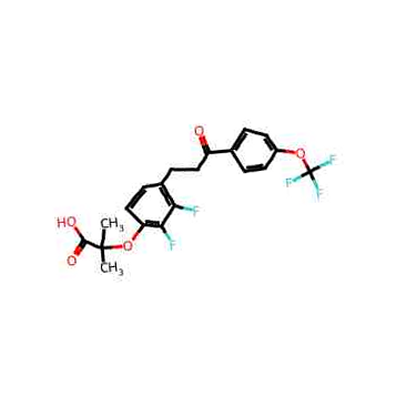 CC(C)(Oc1ccc(CCC(=O)c2ccc(OC(F)(F)F)cc2)c(F)c1F)C(=O)O